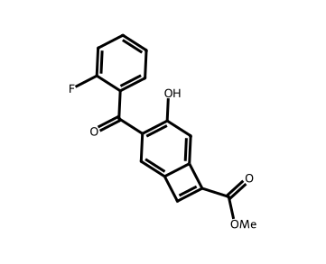 COC(=O)C1=Cc2cc(C(=O)c3ccccc3F)c(O)cc21